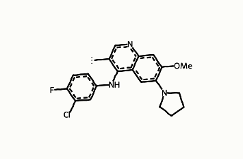 [C]c1cnc2cc(OC)c(N3CCCC3)cc2c1Nc1ccc(F)c(Cl)c1